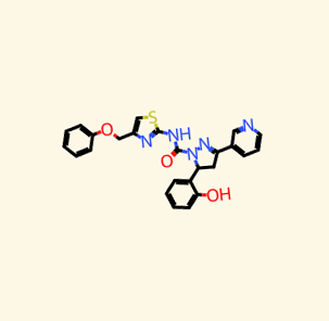 O=C(Nc1nc(COc2ccccc2)cs1)N1N=C(c2cccnc2)CC1c1ccccc1O